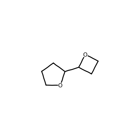 C1COC(C2CCO2)C1